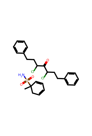 CC1(S(N)(=O)=O)C=CC=CC1.O=C(C(Cl)CCc1ccccc1)C(Cl)CCc1ccccc1